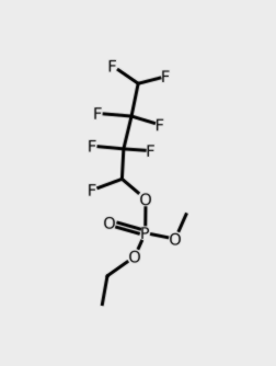 CCOP(=O)(OC)OC(F)C(F)(F)C(F)(F)C(F)F